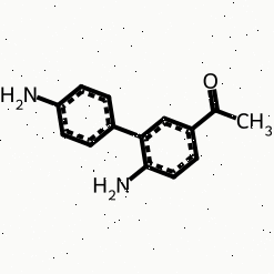 CC(=O)c1ccc(N)c(-c2ccc(N)cc2)c1